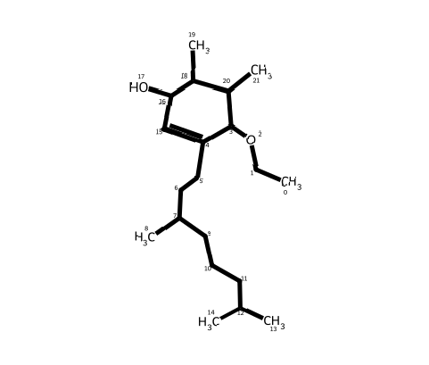 CCOC1C(CCC(C)CCCC(C)C)=CC(O)C(C)C1C